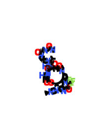 CO[C@@H](C)c1ncc(N2CCN(C3CC3)CC2)cc1-c1c2c3cc(ccc3n1CC(F)(F)F)N1CCO[C@@H](C[C@H](NC(=O)[C@H](C(C)C)N3CC[C@]4(CCN(C(=O)[C@H]5CN5CC(=O)N(C)C)C4)C3)C(=O)N3CCC[C@H](N3)C(=O)OCC(C)(C)C2)C1